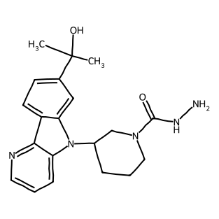 CC(C)(O)c1ccc2c3ncccc3n(C3CCCN(C(=O)NN)C3)c2c1